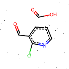 O=CO.O=Cc1cccnc1Cl